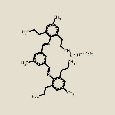 CCCc1cc(C)cc(CCC)c1N=Cc1cc(C)cc(C=Nc2c(CCC)cc(C)cc2CCC)n1.[Cl-].[Cl-].[Cl-].[Fe+3]